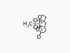 CC(C)(C)c1c2occc2cc2ccc(=O)oc12